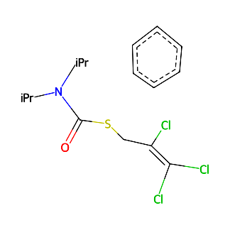 CC(C)N(C(=O)SCC(Cl)=C(Cl)Cl)C(C)C.c1ccccc1